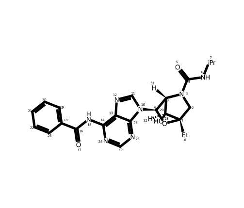 CC[C@@]12CN(C(=O)NC(C)C)[C@@H]([C@H](n3cnc4c(NC(=O)c5ccccc5)ncnc43)O1)[C@@H]2O